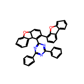 C1=CC2Oc3ccccc3C2C(c2nc(-c3ccccc3)nc(-c3ccccc3)n2)=C1c1cccc2c1oc1ccccc12